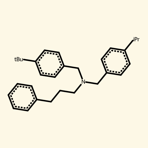 CC(C)c1ccc(CN(CCCc2ccccc2)Cc2ccc(C(C)(C)C)cc2)cc1